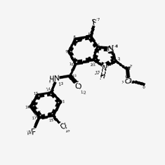 COCc1nc2c(F)ccc(C(=O)Nc3ccc(F)c(Cl)c3)c2[nH]1